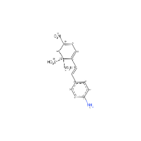 Nc1ccc(C=CC2=CC=C([N+](=O)[O-])CC2(S(=O)(=O)O)S(=O)(=O)O)cc1